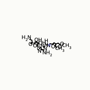 COC(=O)Cc1cc(/C=N/Nc2nc(N)c3ncn([C@@H]4O[C@H](C(=O)CCN)[C@@H](O)[C@H]4O)c3n2)oc1C